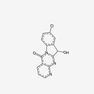 O=c1c2cccnc2nc2n1-c1ccc(Cl)cc1C2O